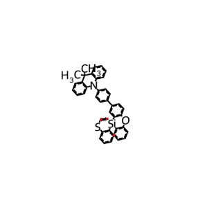 CC1(C)c2ccccc2N(c2ccc(-c3ccc4c(c3)[Si]3(c5ccccc5O4)c4ccccc4Sc4ccccc43)cc2)c2ccccc21